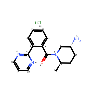 C[C@@H]1CC[C@@H](N)CN1C(=O)c1ccccc1-c1ncccn1.Cl